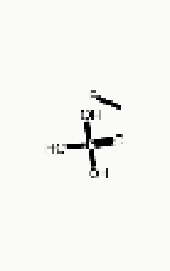 CF.O=P(O)(O)O